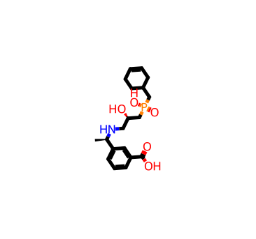 C[C@@H](NC[C@@H](O)CP(=O)(O)CC1CC=CCC1)c1cccc(C(=O)O)c1